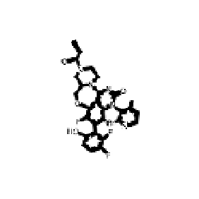 C=CC(=O)N1CCN2c3nc(=O)n(-c4c(C)ccnc4C(C)C)c4c(Cl)c(-c5c(O)ccc(F)c5F)c(F)c(c34)OCC2C1